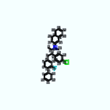 CC(C(Cc1ccc(-c2ccccc2)c(F)c1)c1ccc(Cl)cc1)N(C)c1ccc2ccccc2c1